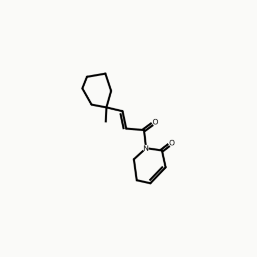 CC1(C=CC(=O)N2CCC=CC2=O)CCCCC1